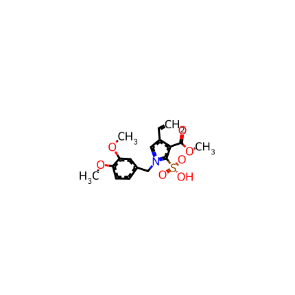 C=Cc1cn(Cc2ccc(OC)c(OC)c2)c(S(=O)(=O)O)c1C(=O)OC